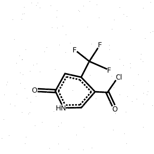 O=C(Cl)c1c[nH]c(=O)cc1C(F)(F)F